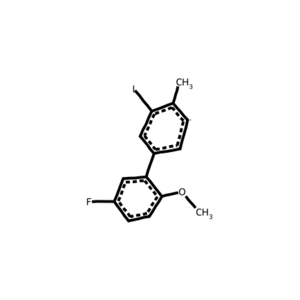 COc1ccc(F)cc1-c1c[c]c(C)c(I)c1